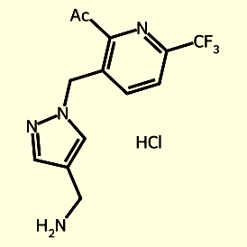 CC(=O)c1nc(C(F)(F)F)ccc1Cn1cc(CN)cn1.Cl